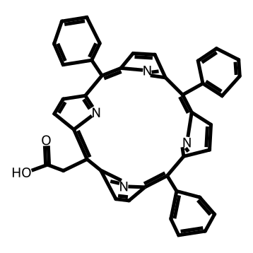 O=C(O)CC1=C2C=CC(=N2)C(c2ccccc2)=C2C=CC(=N2)C(c2ccccc2)=C2C=CC(=N2)C(c2ccccc2)=C2C=CC1=N2